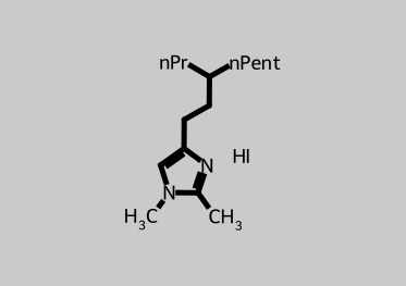 CCCCCC(CCC)CCc1cn(C)c(C)n1.I